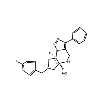 Cl.Fc1ccc(CN2C[C@@H]3[C@@H](C2)NCc2c(-c4ccccc4)nnn23)cc1